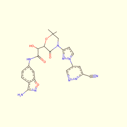 CC1(C)CN(c2ccn(-c3cnnc(C#N)c3)n2)C(=O)C(C(O)C(=O)Nc2ccc3c(N)noc3c2)O1